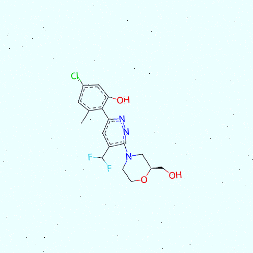 Cc1cc(Cl)cc(O)c1-c1cc(C(F)F)c(N2CCO[C@H](CO)C2)nn1